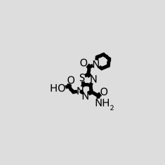 NC(=O)C1=NN(CC(=O)O)C2SC(C(=O)N3CCCCC3)=NC12